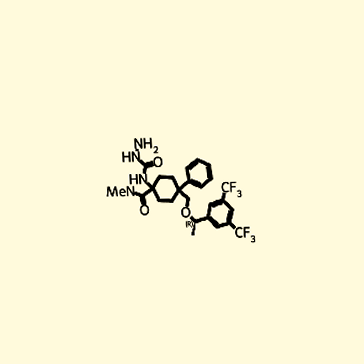 CNC(=O)C1(NC(=O)NN)CCC(CO[C@H](C)c2cc(C(F)(F)F)cc(C(F)(F)F)c2)(c2ccccc2)CC1